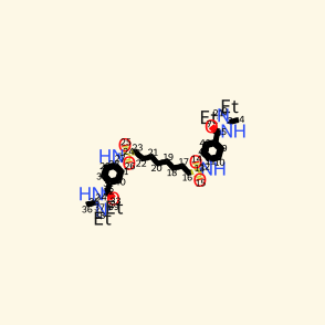 CCN(CC)C(C)NC(=O)c1ccc(NS(=O)(=O)CCCCCCCCS(=O)(=O)Nc2ccc(C(=O)NC(C)N(CC)CC)cc2)cc1